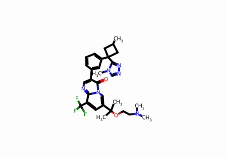 CC1CC(c2cccc(-c3cnc4c(C(F)(F)F)cc(C(C)(C)OCCN(C)C)cn4c3=O)c2)(c2nncn2C)C1